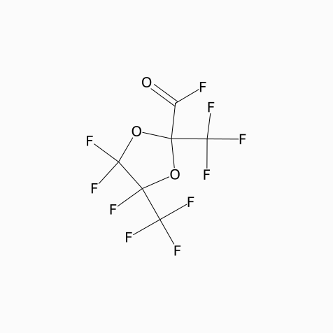 O=C(F)C1(C(F)(F)F)OC(F)(F)C(F)(C(F)(F)F)O1